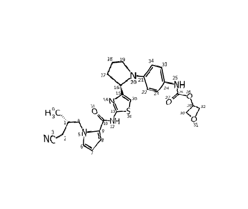 C[C@@H](CC#N)Cn1cccc1C(=O)Nc1nc([C@H]2CCCN2c2ccc(NC(=O)OC3COC3)cc2)cs1